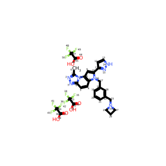 Cc1nnc2ccc3c(cc(-c4cc[nH]n4)n3Cc3cccc(CN4CCC4)c3)n12.O=C(O)C(F)(F)F.O=C(O)C(F)(F)F.O=C(O)C(F)(F)F